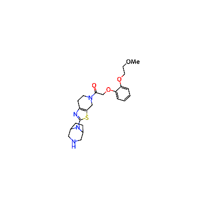 COCCOc1ccccc1OCC(=O)N1CCc2nc(N3C4CCC3CNC4)sc2C1